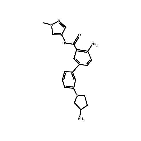 Cn1cc(NC(=O)c2nc(-c3cccc(N4CCC(N)C4)c3)ccc2N)cn1